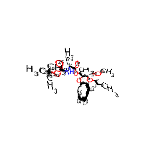 CCCO[C@@H](COC)[C@@H](Oc1ccccc1)[C@H](C)OC(=O)[C@@H](C)NC(=O)OC(C)(C)C